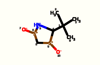 CC(C)(C)C1N[S+]([O-])C[S+]1[O-]